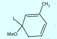 COC1(I)C=C(C)C=CC1